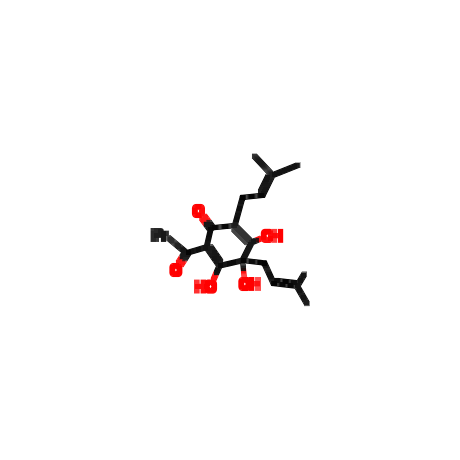 CC(C)=CCC1=C(O)C(O)(CC=C(C)C)C(O)=C(C(=O)C(C)C)C1=O